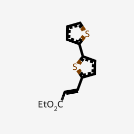 CCOC(=O)C=Cc1ccc(-c2cccs2)s1